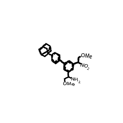 COCC(N)c1cc(-c2ccc(C34CC5CC(CC(C5)C3)C4)cc2)cc(C(COC)[N+](=O)[O-])c1